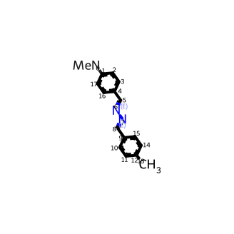 CNc1ccc(/C=N/N=C/c2ccc(C)cc2)cc1